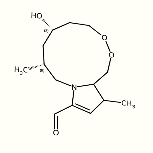 CC1C=C(C=O)N2C[C@H](C)C[C@H](O)CCOOCC12